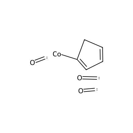 [C]=O.[C]=O.[C]=O.[Co][C]1=CC=CC1